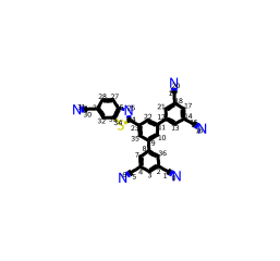 N#Cc1cc(C#N)cc(-c2cc(-c3cc(C#N)cc(C#N)c3)cc(-c3nc4ccc(C#N)cc4s3)c2)c1